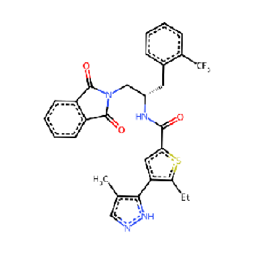 CCc1sc(C(=O)N[C@@H](Cc2ccccc2C(F)(F)F)CN2C(=O)c3ccccc3C2=O)cc1-c1[nH]ncc1C